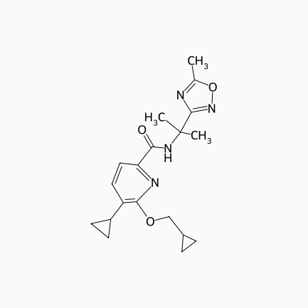 Cc1nc(C(C)(C)NC(=O)c2ccc(C3CC3)c(OCC3CC3)n2)no1